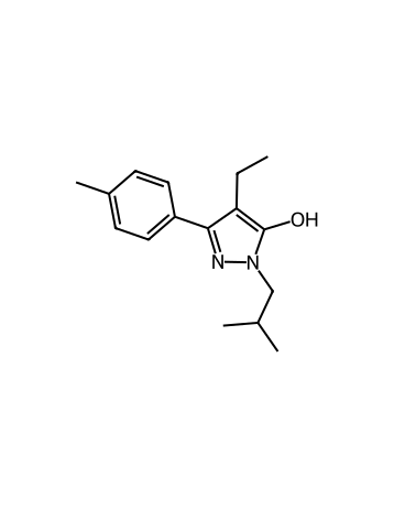 CCc1c(-c2ccc(C)cc2)nn(CC(C)C)c1O